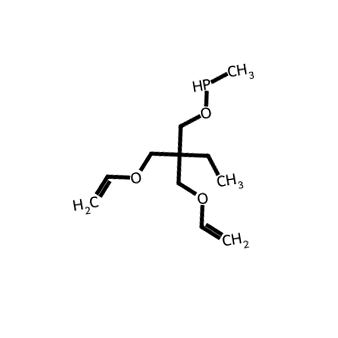 C=COCC(CC)(COC=C)COPC